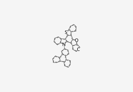 c1ccc2c(c1)oc1c3c4ccccc4sc3c3c4ccccc4n(-c4ccc5c6ccccc6c6ccccc6c5c4)c3c21